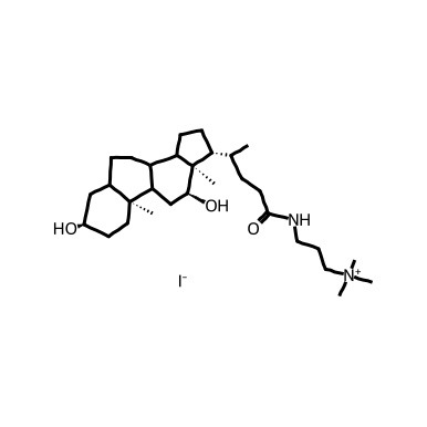 CC(CCC(=O)NCCC[N+](C)(C)C)[C@H]1CCC2C3CCC4C[C@H](O)CC[C@]4(C)C3C[C@H](O)[C@@]21C.[I-]